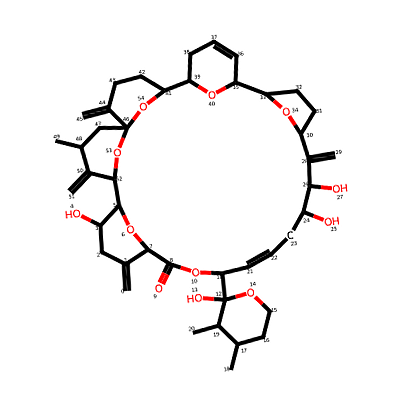 C=C1CC(O)C2OC1C(=O)OC(C1(O)OCCC(C)C1C)/C=C\CC(O)C(O)C(=C)C1CCC(O1)C1C=CCC(O1)C1CCC(=C)C3(CC(C)C(=C)C2O3)O1